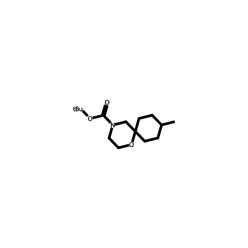 CC1CCC2(CC1)CN(C(=O)OC(C)(C)C)CCO2